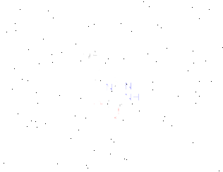 CC(=O)OCCCn1[c]n[nH]c(=O)c1=O